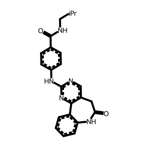 CC(C)CNC(=O)c1ccc(Nc2ncc3c(n2)-c2ccccc2NC(=O)C3)cc1